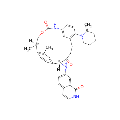 C=C1CCCCN1c1ccc2cc1CCC(=O)[C@H](Nc1ccc3cc[nH]c(=O)c3c1)c1ccc(c(C)c1)[C@@H](C)COC(=O)N2